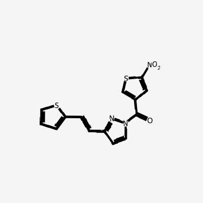 O=C(c1csc([N+](=O)[O-])c1)n1ccc(C=Cc2cccs2)n1